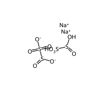 O=S(O)S(=O)(=O)O.O=S([O-])S(=O)(=O)[O-].[Na+].[Na+]